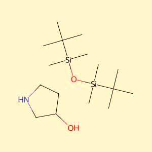 CC(C)(C)[Si](C)(C)O[Si](C)(C)C(C)(C)C.OC1CCNC1